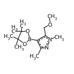 COCc1c(B2OC(C)(C)C(C)(C)O2)c(C)nn1C